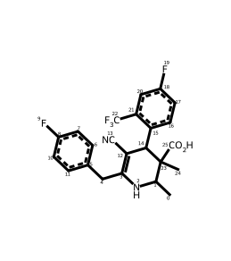 CC1NC(Cc2ccc(F)cc2)=C(C#N)C(c2ccc(F)cc2C(F)(F)F)C1(C)C(=O)O